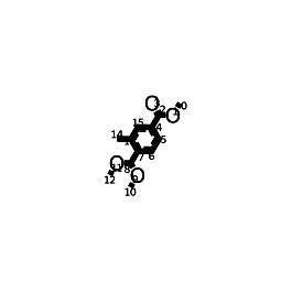 COC(=O)c1ccc(C(OC)OC)c(C)c1